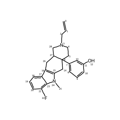 C=CCN1CCC2(c3cccc(O)c3)Cc3c(c4cccc(F)c4n3C)CC2C1